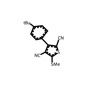 CSc1sc(C#N)c(-c2ccc(C(C)(C)C)cc2)c1C#N